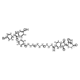 O=C1CCC(N2C(=O)c3ccc(NCCCOCCCOCCCOc4ccc(Oc5c(-c6ccc(Br)cc6)sc6cc(O)ccc56)cc4)cc3C2=O)C(=O)N1